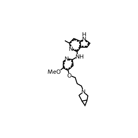 COc1cnc(Nc2nc(C)cc3[nH]ccc23)cc1OCCCN1CC2CC2C1